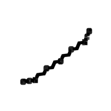 O=C=NCCOCCOCCOCCN=C=O